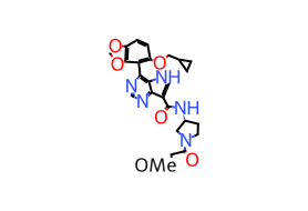 COCC(=O)N1CC[C@@H](NC(=O)c2c[nH]c3c(-c4c(OCC5CC5)ccc5c4OCO5)ncnc23)C1